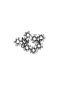 c1ccc(-c2nc(-c3ccccc3)c3oc4ccc(-c5cccc(-c6cccc(-n7c8ccccc8c8ccccc87)c6)c5)cc4c3n2)cc1